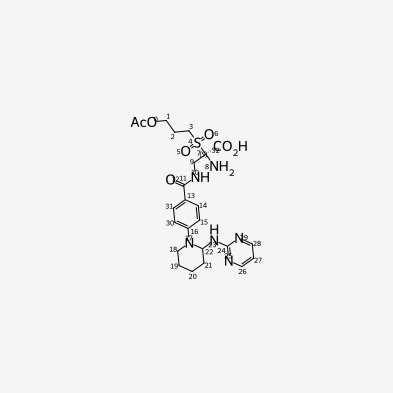 CC(=O)OCCCS(=O)(=O)[C@@](N)(CNC(=O)c1ccc(N2CCCCC2Nc2ncccn2)cc1)C(=O)O